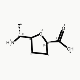 C[C@@H](N)C1CC[C@H](C(=O)O)O1